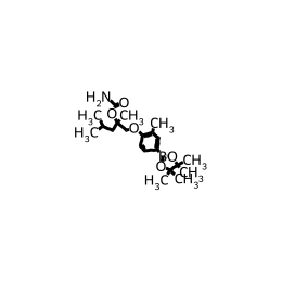 Cc1cc(B2OC(C)(C)C(C)(C)O2)ccc1OCC(C)(CC(C)C)OC(N)=O